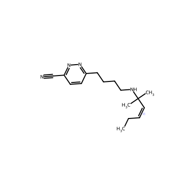 CC/C=C\C(C)(C)NCCCCc1ccc(C#N)nn1